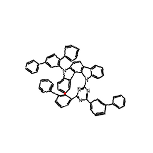 c1ccc(-c2cccc(-c3nc(-c4cccc(-c5ccccc5)c4)nc(-n4c5ccccc5c5ccc6c(c7ccccc7n6-c6cc(-c7ccccc7)ccc6-c6ccccc6)c54)n3)c2)cc1